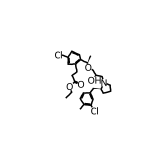 CCOC(=O)CCc1cc(Cl)ccc1[C@@H](C)OC[C@H](O)CN1CCC[C@H]1Cc1ccc(C)c(Cl)c1